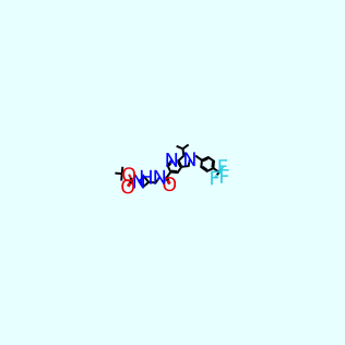 CC(C)C1c2ncc(C(=O)NCC3CN(C(=O)OC(C)(C)C)C3)cc2CN1Cc1ccc(C(F)(F)F)cc1